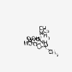 CCCC(=O)c1cccc(C)c1NC(=O)CCN(CC)CC.O=C(O)C(=O)O